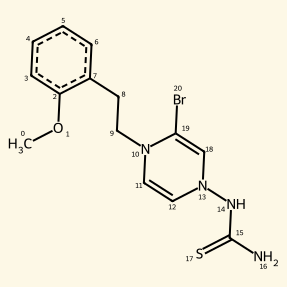 COc1ccccc1CCN1C=CN(NC(N)=S)C=C1Br